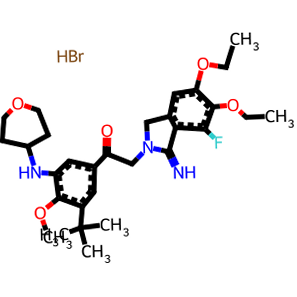 Br.CCOc1cc2c(c(F)c1OCC)C(=N)N(CC(=O)c1cc(NC3CCOCC3)c(OC)c(C(C)(C)C)c1)C2